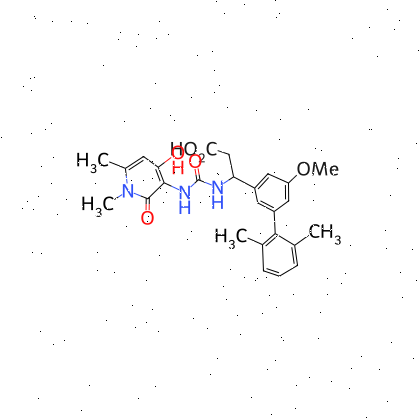 COc1cc(-c2c(C)cccc2C)cc(C(CC(=O)O)NC(=O)Nc2c(O)cc(C)n(C)c2=O)c1